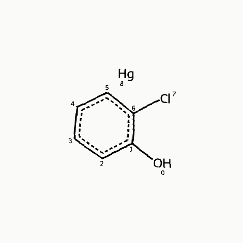 Oc1ccccc1Cl.[Hg]